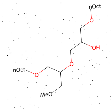 CCCCCCCCOCC(O)COC(COC)COCCCCCCCC